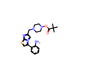 CC(C)(C)C(=O)ON1CCN(Cc2cn3c(-c4ccccc4N)csc3n2)CC1